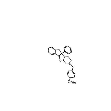 COc1ccc(CN2CCC(C3(c4ccccc4)Cc4ccccc4C3=O)CC2)cc1